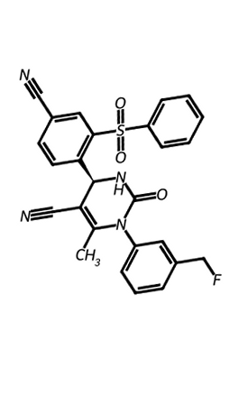 CC1=C(C#N)[C@@H](c2ccc(C#N)cc2S(=O)(=O)c2ccccc2)NC(=O)N1c1cccc(CF)c1